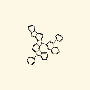 c1ccc(-c2nc(-n3c4ccc5c6ccccc6oc5c4c4ccc5c(c6ccccc6n5-c5ccccc5)c43)nc3ccccc23)cc1